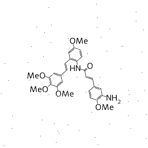 COc1ccc(NC(=O)/C=C/c2ccc(OC)c(N)c2)c(/C=C/c2cc(OC)c(OC)c(OC)c2)c1